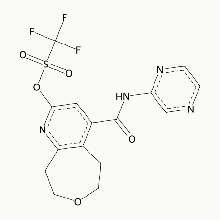 O=C(Nc1cnccn1)c1cc(OS(=O)(=O)C(F)(F)F)nc2c1CCOCC2